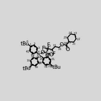 CC(C)(C)c1ccc(S(OS(=O)(=O)C(F)(F)C(F)CCOC(=O)C2CCCCC2)(c2ccc(C(C)(C)C)cc2)c2ccc(C(C)(C)C)cc2)cc1